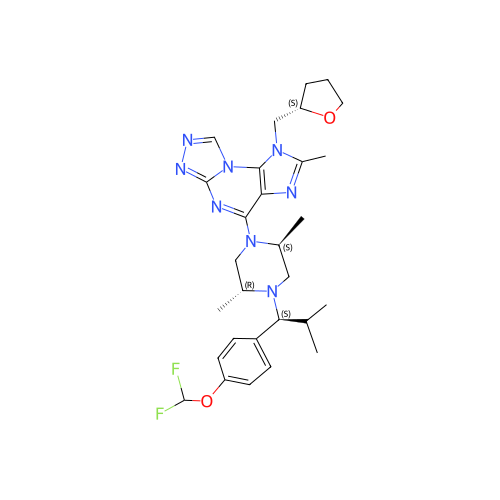 Cc1nc2c(N3C[C@@H](C)N([C@H](c4ccc(OC(F)F)cc4)C(C)C)C[C@@H]3C)nc3nncn3c2n1C[C@@H]1CCCO1